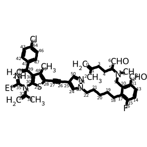 C=C(C)CCC(C=O)N(C)Cc1c(C=O)ccc(F)c1CCCCCn1cc(C#Cc2sc(N(C(=C)C)C(=N)CC)c(C(=C)c3ccc(Cl)cc3)c2C)cn1